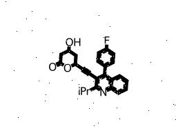 CC(C)c1nc2ccccc2c(-c2ccc(F)cc2)c1C#CC1CC(O)CC(=O)O1